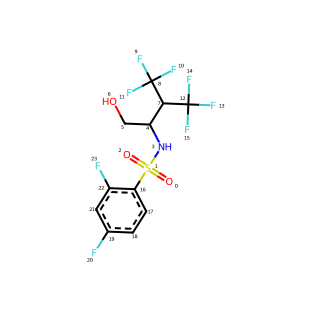 O=S(=O)(NC(CO)C(C(F)(F)F)C(F)(F)F)c1ccc(F)cc1F